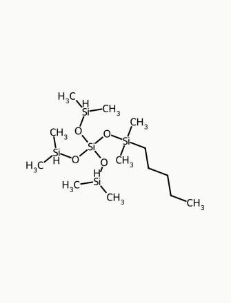 CCCCC[Si](C)(C)O[Si](O[SiH](C)C)(O[SiH](C)C)O[SiH](C)C